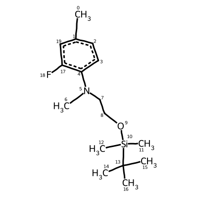 Cc1ccc(N(C)CCO[Si](C)(C)C(C)(C)C)c(F)c1